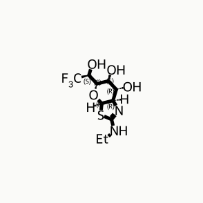 CCNC1=N[C@@H]2[C@@H](O)[C@H](O)[C@@H]([C@H](O)C(F)(F)F)O[C@@H]2S1